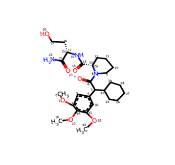 COc1cc(C(C(=O)N2CCCC[C@H]2C(=O)N[C@@H](CCO)C(N)=O)C2CCCCC2)cc(OC)c1OC